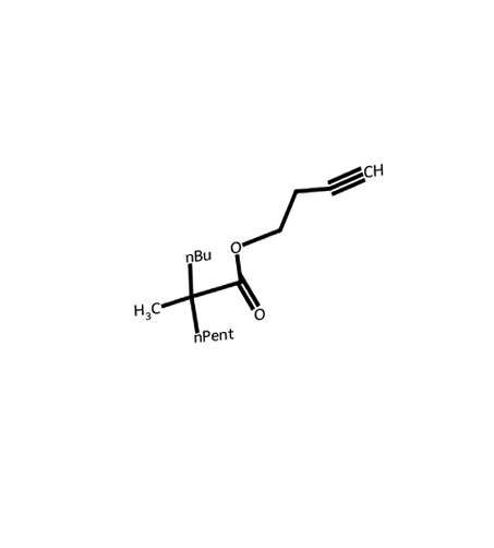 C#CCCOC(=O)C(C)(CCCC)CCCCC